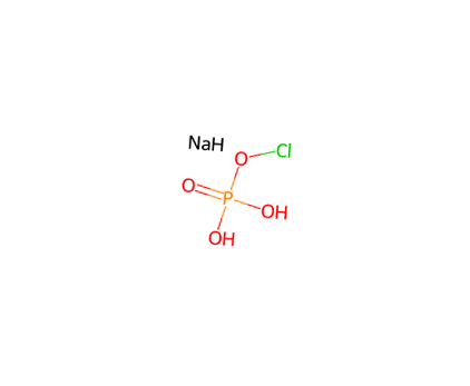 O=P(O)(O)OCl.[NaH]